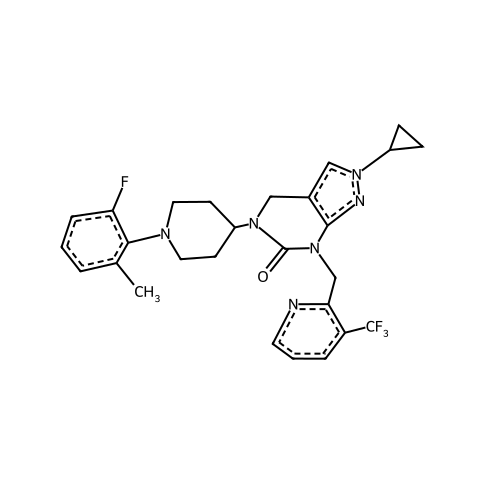 Cc1cccc(F)c1N1CCC(N2Cc3cn(C4CC4)nc3N(Cc3ncccc3C(F)(F)F)C2=O)CC1